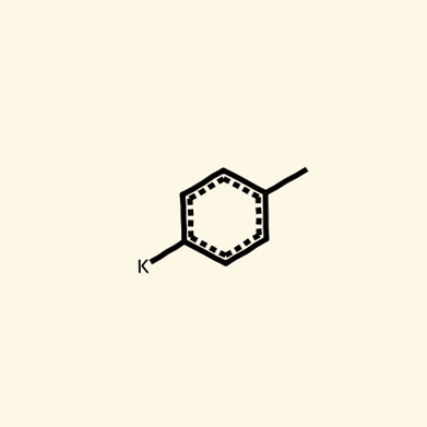 Cc1cc[c]([K])cc1